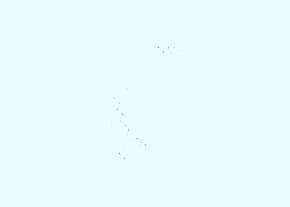 C\C=C/N=C(CC(C)/C=C\CCCCCCC(=O)NC)\N=C\Nc1ccc(N)c(CC=N)c1